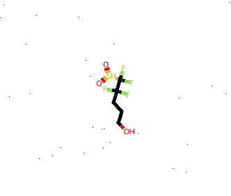 O=[SH](=O)C(F)(F)C(F)(F)CCCO